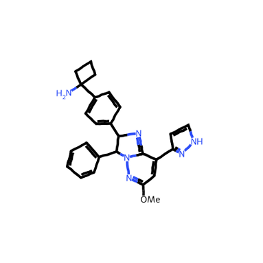 COC1=NN2C(=NC(c3ccc(C4(N)CCC4)cc3)C2c2ccccc2)C(c2cc[nH]n2)=C1